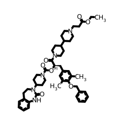 CCOC(=O)CCN1CCC(C2CCN(C(=O)[C@@H](Cc3cc(C)c(OCc4ccccc4)c(C)c3)OC(=O)N3CCC(N4CCc5ccccc5NC4=O)CC3)CC2)CC1